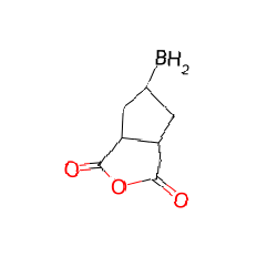 BC1CC2C(=O)OC(=O)C2C1